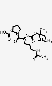 CCC(C)(C)OC(=O)N[C@@H](CCCNC(=N)N)C(=O)N1CCC[C@H]1C(=O)O